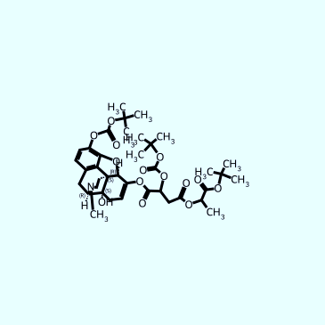 CC(OC(=O)CC(OC(=O)OC(C)(C)C)C(=O)OC1=CC[C@@]2(O)[C@H]3Cc4ccc(OC(=O)OC(C)(C)C)c5c4[C@@]2(CCN3C)[C@H]1O5)C(=O)OC(C)(C)C